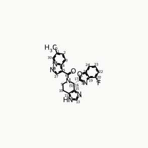 Cc1ccc2c(C(=O)N3CCc4[nH]cnc4[C@H]3c3nc4c(F)cccc4o3)cnn2c1